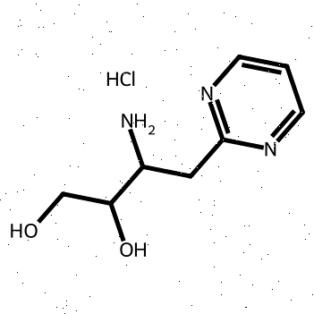 Cl.NC(Cc1ncccn1)C(O)CO